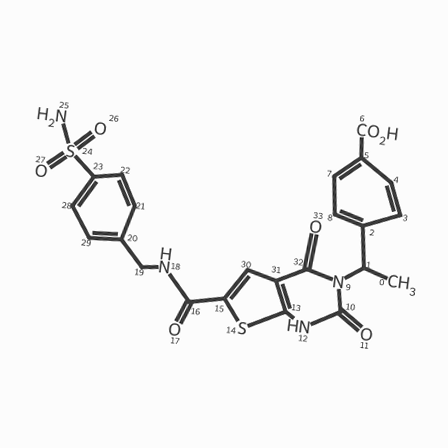 CC(c1ccc(C(=O)O)cc1)n1c(=O)[nH]c2sc(C(=O)NCc3ccc(S(N)(=O)=O)cc3)cc2c1=O